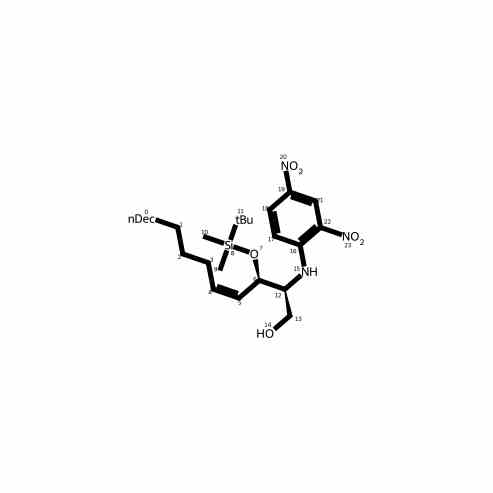 CCCCCCCCCCCCC/C=C\[C@@H](O[Si](C)(C)C(C)(C)C)[C@H](CO)Nc1ccc([N+](=O)[O-])cc1[N+](=O)[O-]